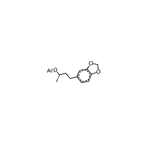 CC(=O)OC(C)CCc1ccc2c(c1)OCO2